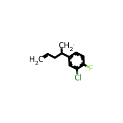 [CH2]C(CC=C)c1ccc(F)c(Cl)c1